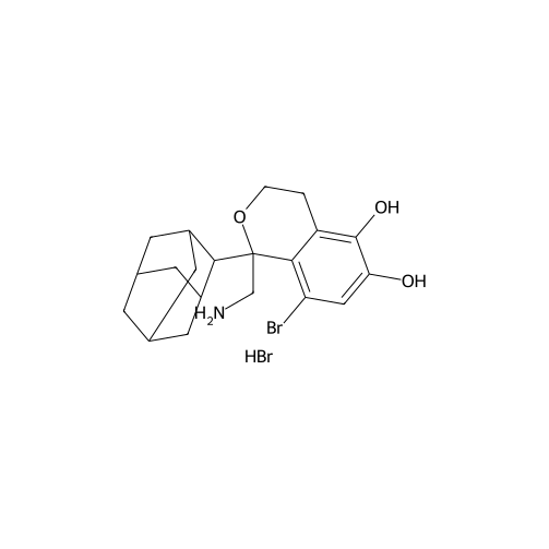 Br.NCC1(C2C3CC4CC(C3)CC2C4)OCCc2c(O)c(O)cc(Br)c21